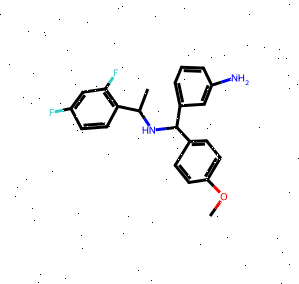 COc1ccc(C(NC(C)c2ccc(F)cc2F)c2cccc(N)c2)cc1